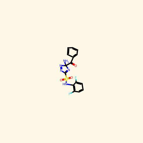 NC1(C(=O)c2ccccc2)N=NC(S(=O)(=O)Nc2c(F)cccc2F)=N1